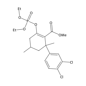 CCOP(=O)(OCC)OC1=C(C(=O)OC)C(C)(c2ccc(Cl)c(Cl)c2)CC(C)C1